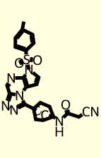 Cc1ccc(S(=O)(=O)n2ccc3c2ncc2nnc(C45CCC(NC(=O)CC#N)(CC4)CC5)n23)cc1